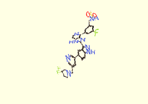 CS(=O)(=O)NCc1cc(F)cc(-c2nccc3[nH]c(-c4n[nH]c5ccc(-c6cncc(CN7CCC(F)(F)C7)c6)cc45)nc23)c1